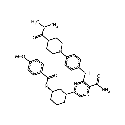 COc1ccc(C(=O)N[C@@H]2CCCN(c3cnc(C(N)=O)c(Nc4ccc(N5CCC(C(=O)N(C)C)CC5)cc4)n3)C2)cc1